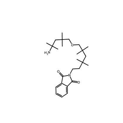 CC(C)(N)CC(C)(C)COCC(C)(C)CC(C)(C)CCN1C(=O)c2ccccc2C1=O